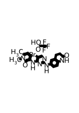 Cc1ccc(Nc2nc(Nc3ccc4c(c3)CCC(=O)N4)ncc2Br)c(=O)n1C.O=C(O)C(F)(F)F